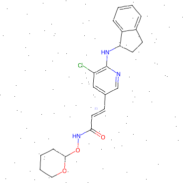 O=C(/C=C/c1cnc(NC2CCc3ccccc32)c(Cl)c1)NOC1CCCCO1